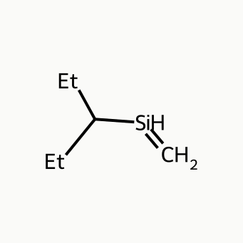 C=[SiH]C(CC)CC